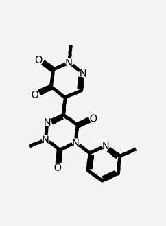 Cc1cccc(-n2c(=O)c(C3C=NN(C)C(=O)C3=O)nn(C)c2=O)n1